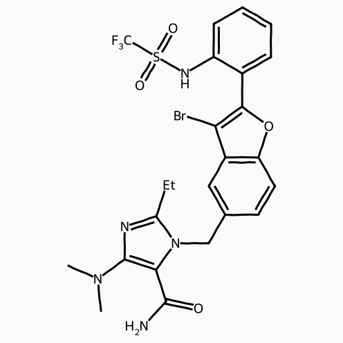 CCc1nc(N(C)C)c(C(N)=O)n1Cc1ccc2oc(-c3ccccc3NS(=O)(=O)C(F)(F)F)c(Br)c2c1